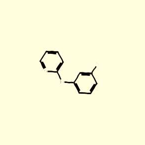 Nc1cccc(Nc2ccccn2)c1